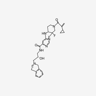 C=C(C(=O)N1CCC(Nc2cc(C(=O)NC[C@H](O)CN3CCc4ccccc4C3)ncn2)C(F)(F)C1)C1CC1